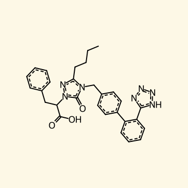 CCCCc1nn(C(Cc2ccccc2)C(=O)O)c(=O)n1Cc1ccc(-c2ccccc2-c2nnn[nH]2)cc1